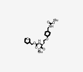 CC(C)(C)OC(=O)NCc1ccc(OCC[C@H](NC(=O)OCc2ccccc2)C(=O)OC(C)(C)C)cc1